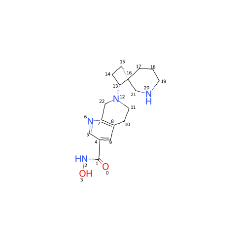 O=C(NO)c1cnc2c(c1)CCN([C@@H]1CC[C@@]13CCCNC3)C2